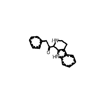 O=C(Cc1ccccc1)C1NCCc2c1[nH]c1ccccc21